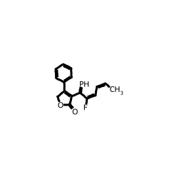 C/C=C\C=C(\F)C(=P)C1=C(c2ccccc2)COC1=O